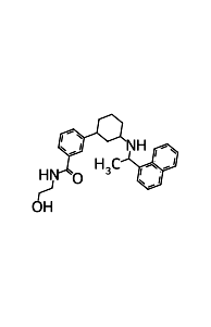 CC(NC1CCCC(c2cccc(C(=O)NCCO)c2)C1)c1cccc2ccccc12